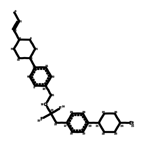 CC=CC1CCC(c2ccc(COC(F)(F)Cc3ccc(C4CCC(CC)CC4)cc3)cc2)CC1